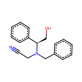 N#CCN(Cc1ccccc1)[C@H](CO)c1ccccc1